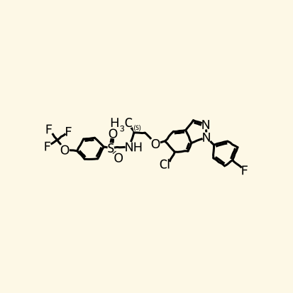 C[C@@H](COC1C=c2cnn(-c3ccc(F)cc3)c2=CC1Cl)NS(=O)(=O)c1ccc(OC(F)(F)F)cc1